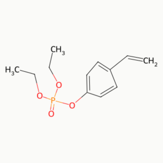 C=Cc1ccc(OP(=O)(OCC)OCC)cc1